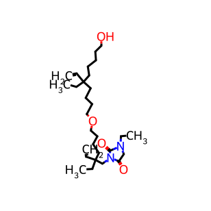 C=CC(CC)(CCCCCO)CCCCOCCCCC(C=C)(CC)CN1C(=O)CN(CC)C1=O